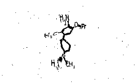 Cc1cc(N)c(OC(C)C)cc1C1CCC(N(C)C)CC1